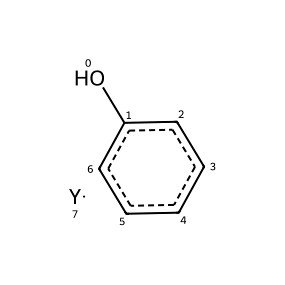 Oc1ccccc1.[Y]